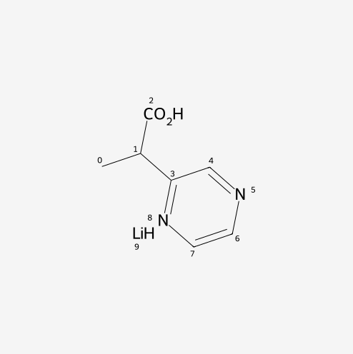 CC(C(=O)O)c1cnccn1.[LiH]